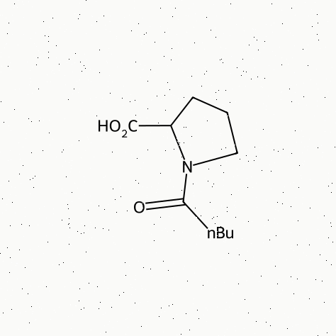 CCCCC(=O)N1CCCC1C(=O)O